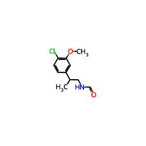 COc1cc(C(C)CNC=O)ccc1Cl